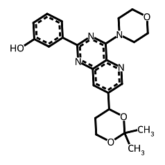 CC1(C)OCCC(c2cnc3c(N4CCOCC4)nc(-c4cccc(O)c4)nc3c2)O1